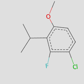 COc1ccc(Cl)c(F)c1C(C)C